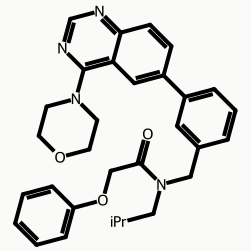 CC(C)CN(Cc1cccc(-c2ccc3ncnc(N4CCOCC4)c3c2)c1)C(=O)COc1ccccc1